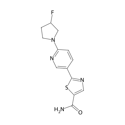 NC(=O)c1cnc(-c2ccc(N3CCC(F)C3)nc2)s1